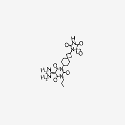 CCCN1C(=O)C(=C(N)N)C(=O)N(C2CCC3(CC2)CC(N2C(=O)NC(=O)C24COC4)C3)C1=O